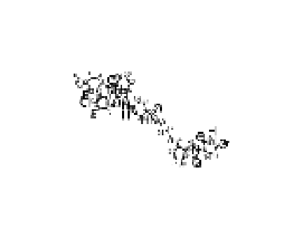 COc1ccc(C(N)=O)c(-c2c(Cl)c(F)cc3c2[C@H](C)[C@@](CNC2CCC(C(=O)NCCCCCc4cccc5c4CN(C4CCC(=O)NC4=O)C5=O)CC2)(c2ccccc2)O3)c1F